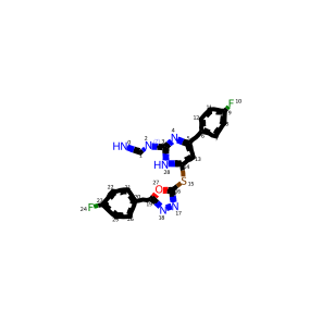 N=C/N=c1/nc(-c2ccc(F)cc2)cc(Sc2nnc(-c3ccc(F)cc3)o2)[nH]1